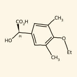 CCOc1c(C)cc([C@@H](O)C(=O)O)cc1C